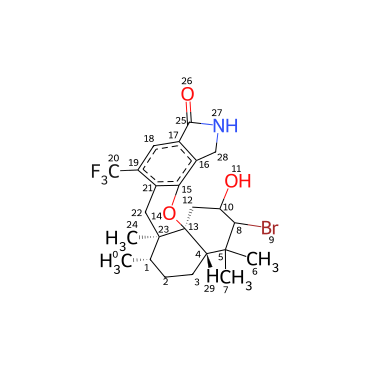 C[C@H]1CC[C@H]2C(C)(C)C(Br)C(O)C[C@]23Oc2c4c(cc(C(F)(F)F)c2C[C@]13C)C(=O)NC4